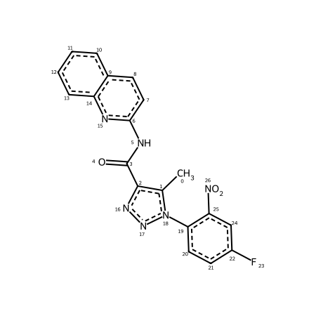 Cc1c(C(=O)Nc2ccc3ccccc3n2)nnn1-c1ccc(F)cc1[N+](=O)[O-]